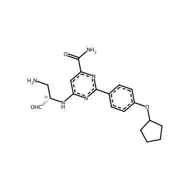 NC[C@@H](C=O)Nc1cc(C(N)=O)nc(-c2ccc(OC3CCCC3)cc2)n1